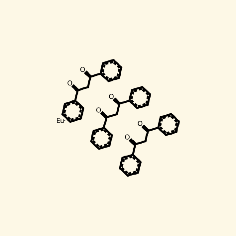 O=C(CC(=O)c1ccccc1)c1ccccc1.O=C(CC(=O)c1ccccc1)c1ccccc1.O=C(CC(=O)c1ccccc1)c1ccccc1.[Eu]